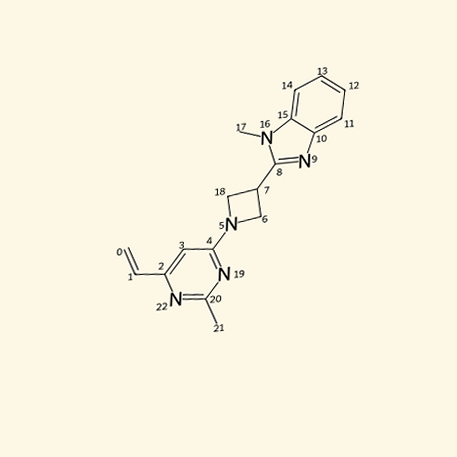 C=Cc1cc(N2CC(c3nc4ccccc4n3C)C2)nc(C)n1